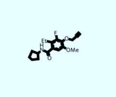 C#CCOc1c(OC)cc(C(=O)NC2CCCC2)c(CC)c1F